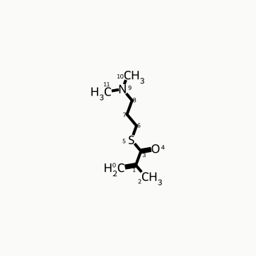 C=C(C)C(=O)SCCCN(C)C